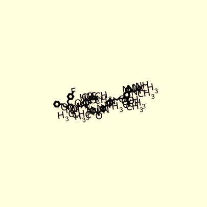 Cc1[nH]nc(Nc2ncnc3cc(OCCCN4CCN(c5cnc(C(=O)N6CCN(C[C@H]7CN(C(=O)OC(C)(C)C)[C@H](C)CN7CC(=O)N7CC(C)(C)c8nc(OCc9ccccc9)c(Cc9ccc(F)cc9)cc87)[C@H](C)C6)cn5)CC4)c(S(=O)(=O)C(C)(C)C)cc23)c1C